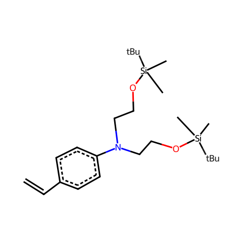 C=Cc1ccc(N(CCO[Si](C)(C)C(C)(C)C)CCO[Si](C)(C)C(C)(C)C)cc1